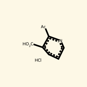 CC(=O)c1ncccc1C(=O)O.Cl